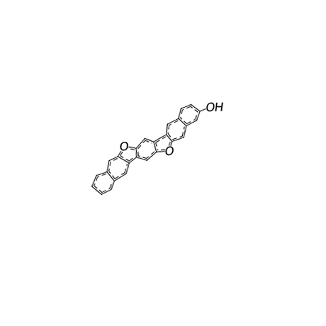 Oc1ccc2cc3c(cc2c1)oc1cc2c(cc13)oc1cc3ccccc3cc12